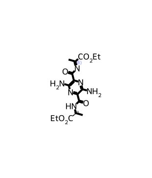 CCOC(=O)/C(C)=N/C(=O)c1nc(N)c(C(=O)N[C@H](C)C(=O)OCC)nc1N